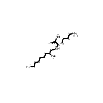 NCCCCCCC(O)CN[C@@H](CCCCN)C(=O)O